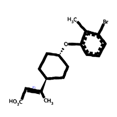 Cc1c(Br)cccc1O[C@H]1CC[C@H](/C(C)=C/C(=O)O)CC1